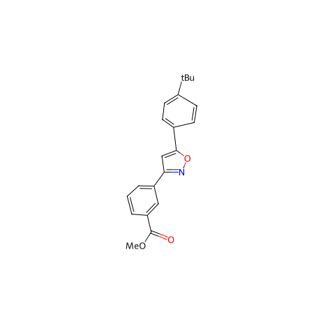 COC(=O)c1cccc(-c2cc(-c3ccc(C(C)(C)C)cc3)on2)c1